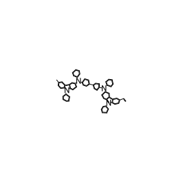 C=Cc1ccc2c(c1)c1cc(N(c3ccccc3)c3ccc(-c4ccc(N(c5ccccc5)c5ccc6c(c5)c5cc(C)ccc5n6-c5ccccc5)cc4)cc3)ccc1n2-c1ccccc1